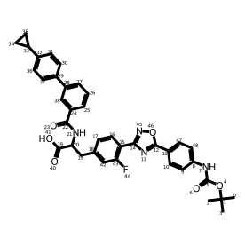 CC(C)(C)OC(=O)Nc1ccc(-c2nc(-c3ccc(CC(NC(=O)c4cccc(-c5ccc(C6CC6)cc5)c4)C(=O)O)cc3F)no2)cc1